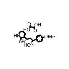 CCCC1NCCC=C1CCC(=NO)c1ccc(OC)cc1.O=C(O)C(=O)O